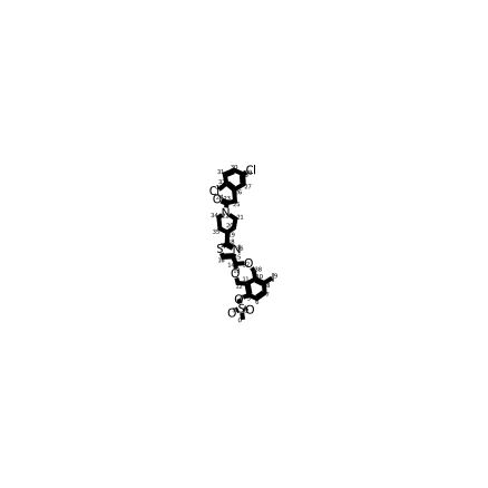 CS(=O)(=O)Oc1ccc(I)c2c1COC(c1csc(C3CCN(C(=O)Cc4cc(Cl)ccc4Cl)CC3)n1)OC2